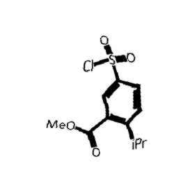 COC(=O)c1cc(S(=O)(=O)Cl)ccc1C(C)C